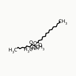 CCCCCCCCCCCCCC(=O)OC(C)(NC)C(=O)CCCCCCC